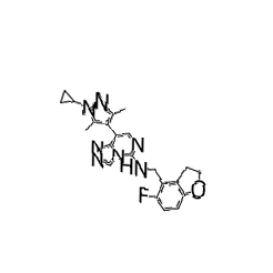 Cc1nn(C2CC2)c(C)c1-c1cnc(NCc2c(F)ccc3c2CCO3)n2cnnc12